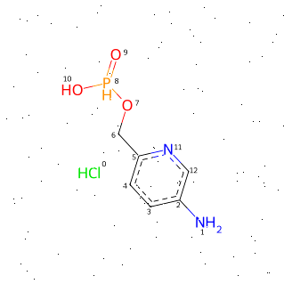 Cl.Nc1ccc(CO[PH](=O)O)nc1